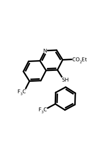 CCOC(=O)c1cnc2ccc(C(F)(F)F)cc2c1S.FC(F)(F)c1ccccc1